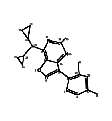 Cc1ccc(-c2noc3c(N(C4CC4)C4CC4)nc(C)nc23)c(C)c1